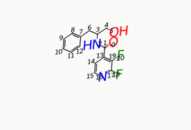 O=C(NC(CO)Cc1ccccc1)c1ccnc(F)c1F